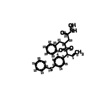 C=CC(c1ccc(Sc2ccccc2)cc1)S(=O)(=O)C(CC(=O)NO)Cc1ccccc1